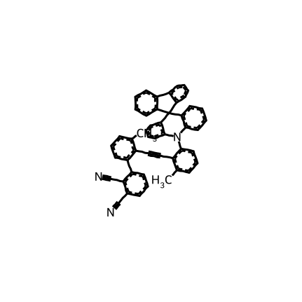 Cc1cccc(-c2cccc(C#N)c2C#N)c1C#Cc1c(C)cccc1N1c2ccccc2C2(c3ccccc3-c3ccccc32)c2ccccc21